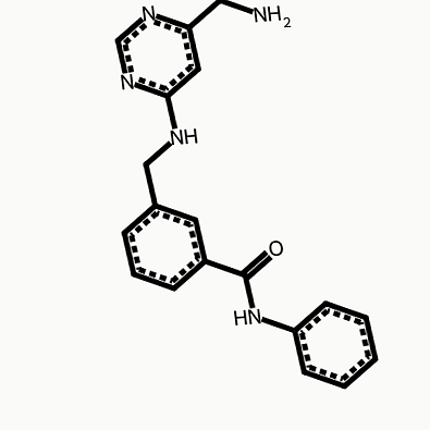 NCc1cc(NCc2cccc(C(=O)Nc3ccccc3)c2)ncn1